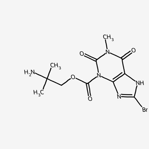 Cn1c(=O)c2[nH]c(Br)nc2n(C(=O)OCC(C)(C)N)c1=O